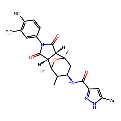 CC(=O)c1cc(C(=O)N[C@@H]2C[C@@]3(C)O[C@@H](C2C)[C@@H]2C(=O)N(c4ccc(C#N)c(C(F)(F)F)c4)C(=O)[C@@H]23)n[nH]1